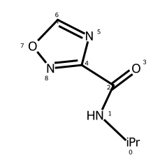 CC(C)NC(=O)c1n[c]on1